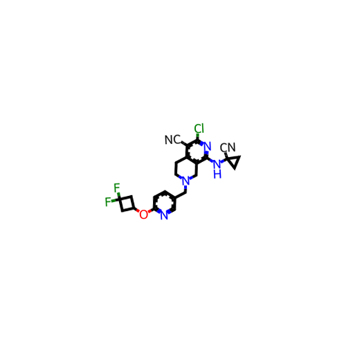 N#Cc1c(Cl)nc(NC2(C#N)CC2)c2c1CCN(Cc1ccc(OC3CC(F)(F)C3)nc1)C2